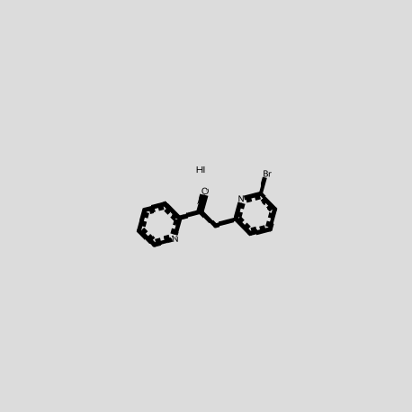 I.O=C(Cc1cccc(Br)n1)c1ccccn1